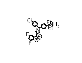 CCC(N)(CC)c1ccc(C(c2ccc(Cl)cc2)N2CC(=C(c3cc(F)cc(F)c3)S(C)(=O)=O)C2)cc1